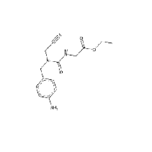 CCOC(=O)CNC(=O)N(CC#N)Cc1ccc(N)cc1